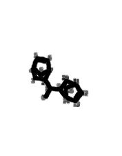 CC(C1CC2C=CC1C2)C1CC2C=CC1C2